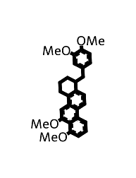 COc1ccc(CC2CCCc3c2ccc2c3cc(OC)c3c(OC)cccc32)cc1OC